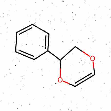 C1=COC(c2ccccc2)CO1